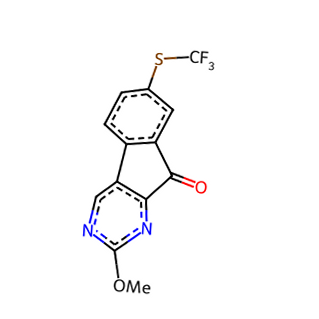 COc1ncc2c(n1)C(=O)c1cc(SC(F)(F)F)ccc1-2